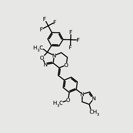 COc1cc(/C=C2\OCCN3C2=NOC3(C)c2cc(C(F)(F)F)cc(C(F)(F)F)c2)ccc1N1C=NC(C)C1